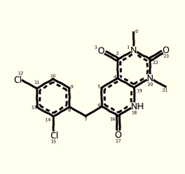 Cn1c(=O)c2cc(Cc3ccc(Cl)cc3Cl)c(=O)[nH]c2n(C)c1=O